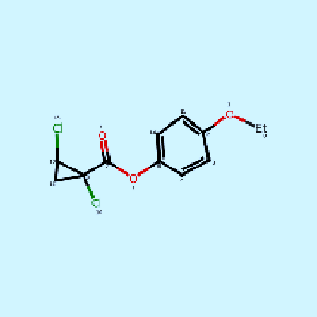 CCOc1ccc(OC(=O)C2(Cl)CC2Cl)cc1